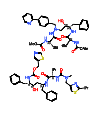 CC(C)c1nc(CN(C)C(=O)N[C@H](C(=O)N[C@@H](Cc2ccccc2)C[C@H](O)[C@H](Cc2ccccc2)NC(=O)OCc2cncs2)C(C)C)cs1.COC(=O)N[C@H](C(=O)N[C@@H](Cc1ccccc1)[C@@H](O)CN(Cc1ccc(-c2ccccn2)cc1)NC(=O)[C@@H](NC(=O)OC)C(C)(C)C)C(C)(C)C